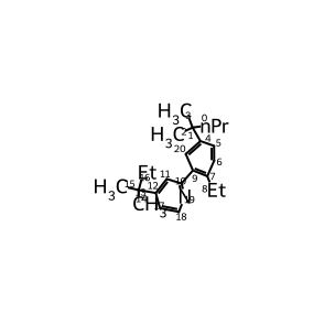 CCCC(C)(C)c1ccc(CC)c(-c2cc(C(C)(C)CC)ccn2)c1